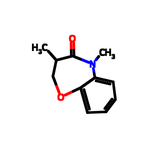 CC1COc2ccccc2N(C)C1=O